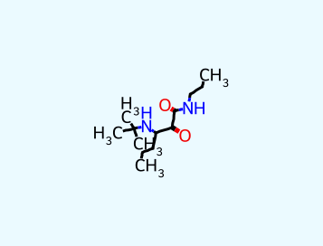 CCCNC(=O)C(=O)C(CCC)NC(C)(C)C